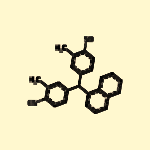 Cc1cc(C(c2ccc(N=O)c(C)c2)c2cccc3ccccc23)ccc1N=O